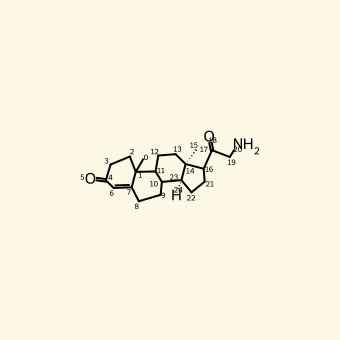 CC12CCC(=O)C=C1CCC1C2CC[C@@]2(C)C(C(=O)CN)CC[C@@H]12